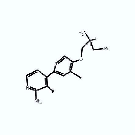 Cc1cc(-c2ccnc(N)c2F)ncc1OCC(C)(N)CC(C)C